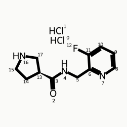 Cl.Cl.O=C(NCc1ncccc1F)[C@H]1CCNC1